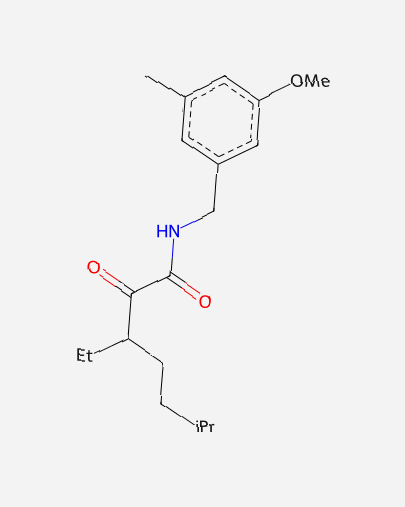 CCC(CCC(C)C)C(=O)C(=O)NCc1cc(C)cc(OC)c1